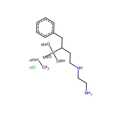 CCCCCCC.CO[Si](OC)(OC)C(CCNCCN)Cc1ccccc1.Cl